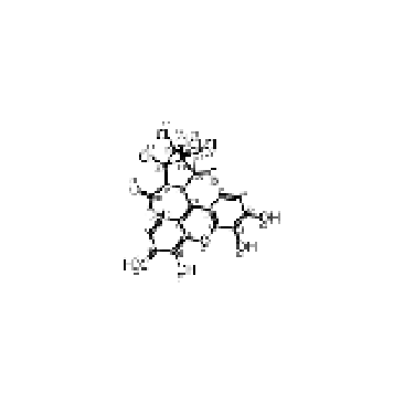 C=c1ccc2c(c1O)Oc1c(ccc(O)c1O)C=2C1C(C(=O)O)C2(Cl)C(Cl)=C(Cl)C1(Cl)C2(Cl)Cl